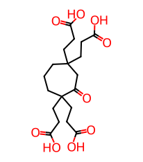 O=C(O)CCC1(CCC(=O)O)CCCC(CCC(=O)O)(CCC(=O)O)C(=O)C1